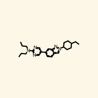 CCCN(CCC)c1ncc(-c2ccc3cn(C4CCC(CC)CC4)nc3c2)cn1